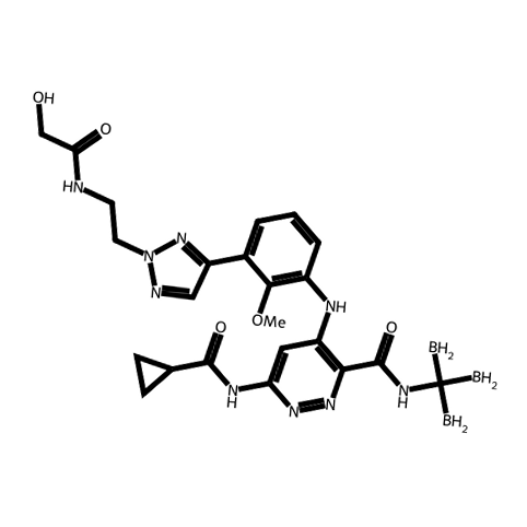 BC(B)(B)NC(=O)c1nnc(NC(=O)C2CC2)cc1Nc1cccc(-c2cnn(CCNC(=O)CO)n2)c1OC